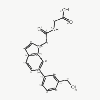 O=C(O)CNC(=O)Cn1ccc2ccc(-c3cccc(CO)c3)cc21